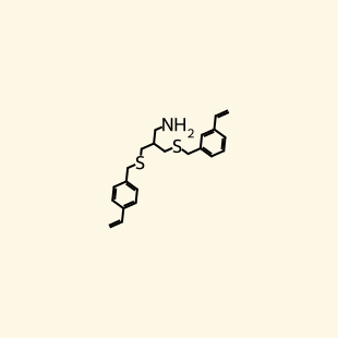 C=Cc1ccc(CSCC(CN)CSCc2cccc(C=C)c2)cc1